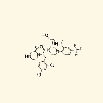 COCCNC(C)c1cc(C(F)(F)F)ccc1N1CCN(C(=O)C(Cc2ccc(Cl)cc2Cl)N2CCNCC2=O)CC1